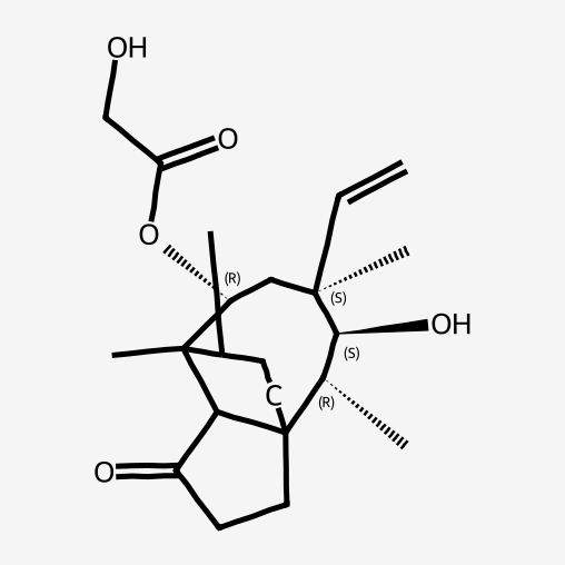 C=C[C@]1(C)C[C@@H](OC(=O)CO)C2(C)C(C)CCC3(CCC(=O)C32)[C@@H](C)[C@@H]1O